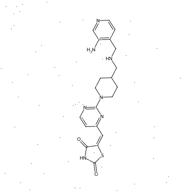 Nc1cnccc1CNCC1CCN(c2nccc(/C=C3/SC(=O)NC3=O)n2)CC1